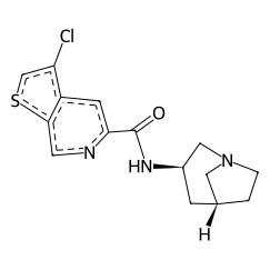 O=C(N[C@@H]1C[C@H]2CCN(C2)C1)c1cc2c(Cl)csc2cn1